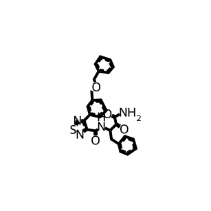 NC(=O)C(=O)C(Cc1ccccc1)NC(=O)c1nsnc1-c1cccc(COCc2ccccc2)c1